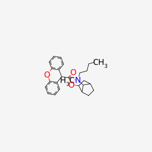 CCCCN(C)C1C2CCC1C(OC(=O)C1c3ccccc3Oc3ccccc31)C2